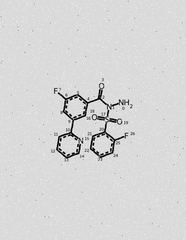 NN(C(=O)c1cc(F)cc(-c2ccccn2)c1)S(=O)(=O)c1ccccc1F